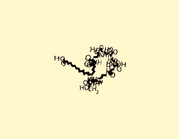 C[C@@H](O)[C@H](NC(=O)[C@H](CCCCNC(=O)CC[C@H](NC(=O)CC[C@H](NC(=O)CC[C@H](NC(=O)CC[C@H](NC(=O)CCCCCCCCCCCCCCCCC(=O)O)C(=O)O)C(=O)O)C(=O)O)C(=O)O)NI)C(N)=O